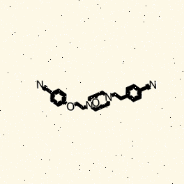 N#Cc1ccc(CCN2CC3CN(CCOc4ccc(C#N)cc4)CC(C2)O3)cc1